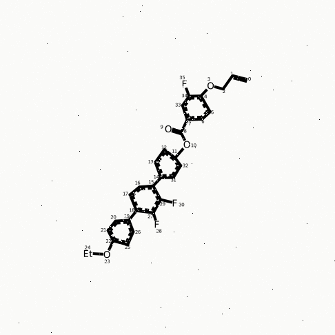 C=CCOc1ccc(C(=O)Oc2ccc(-c3ccc(-c4ccc(OCC)cc4)c(F)c3F)cc2)cc1F